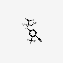 C[C@](CO)(Nc1ccc(C#N)c(C(F)(F)F)c1)C(=O)O